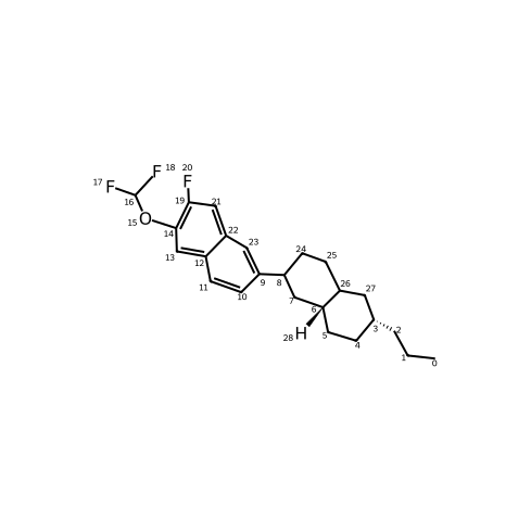 CCC[C@@H]1CC[C@@H]2CC(c3ccc4cc(OC(F)F)c(F)cc4c3)CCC2C1